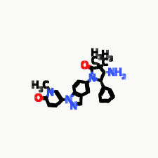 Cn1cc(-n2ncc3cc(N4C(=O)C(C)(C)[C@H](N)[C@H]4c4ccccc4)ccc32)ccc1=O